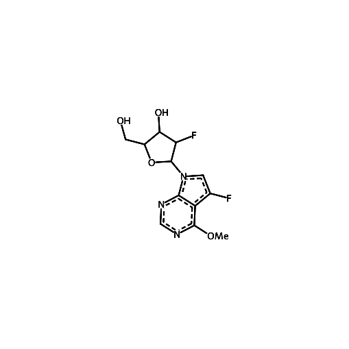 COc1ncnc2c1c(F)cn2C1OC(CO)C(O)C1F